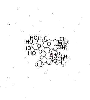 COC(=O)/C(C)=C\CC12OC(C)(C)C3CC(C1=O)C(N1CCOCC1)C1C(=O)c4c(O[C@@H]5O[C@H](CO)[C@@H](O)[C@@H](O)[C@H]5O)c5c(c(CC=C(C)C)c4OC132)OC(C)(CCC=C(C)C)C=C5